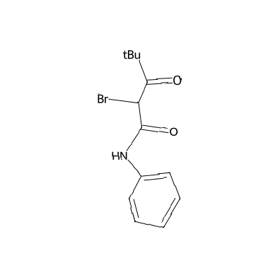 CC(C)(C)C(=O)C(Br)C(=O)Nc1ccccc1